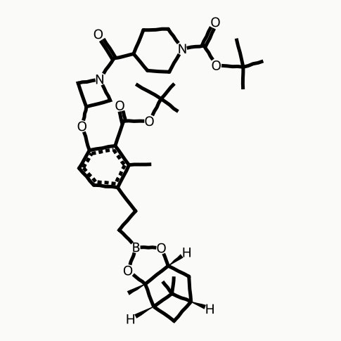 Cc1c(CCB2O[C@@H]3C[C@@H]4C[C@@H](C4(C)C)[C@]3(C)O2)ccc(OC2CN(C(=O)C3CCN(C(=O)OC(C)(C)C)CC3)C2)c1C(=O)OC(C)(C)C